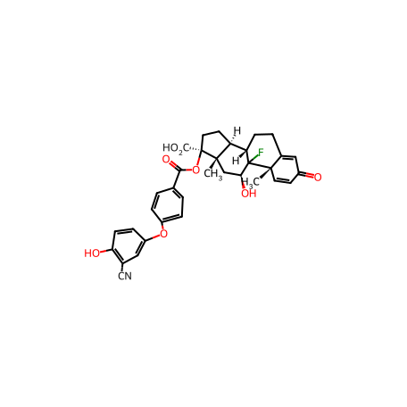 C[C@]12C=CC(=O)C=C1CC[C@H]1[C@@H]3CC[C@@](OC(=O)c4ccc(Oc5ccc(O)c(C#N)c5)cc4)(C(=O)O)[C@@]3(C)C[C@H](O)C12F